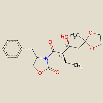 CC[C@@H](C(=O)N1C(=O)OCC1Cc1ccccc1)[C@@H](O)CC1(C)OCCO1